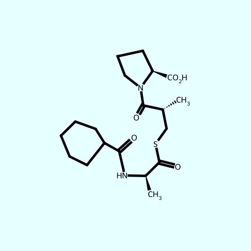 C[C@H](CSC(=O)[C@@H](C)NC(=O)C1CCCCC1)C(=O)N1CCC[C@H]1C(=O)O